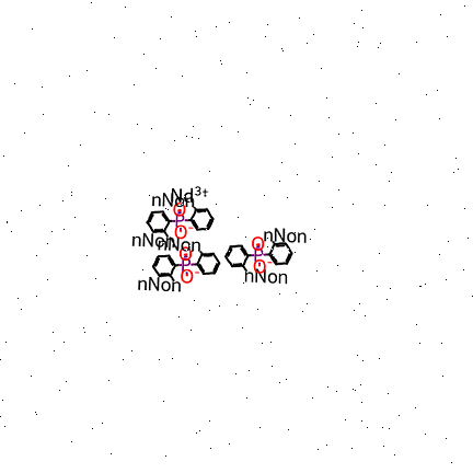 CCCCCCCCCc1ccccc1P(=O)([O-])c1ccccc1CCCCCCCCC.CCCCCCCCCc1ccccc1P(=O)([O-])c1ccccc1CCCCCCCCC.CCCCCCCCCc1ccccc1P(=O)([O-])c1ccccc1CCCCCCCCC.[Nd+3]